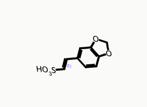 O=S(=O)(O)/C=C/c1ccc2c(c1)OCO2